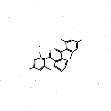 Cc1cc(C)c(C(=O)c2[c]cccc2C(=O)c2c(C)cc(C)cc2C)c(C)c1